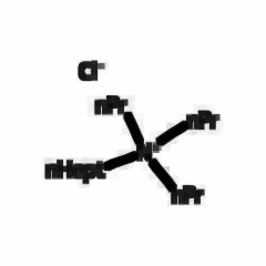 CCCCCCC[N+](CCC)(CCC)CCC.[Cl-]